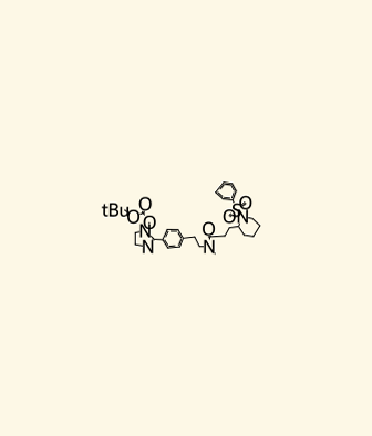 CN(CCc1ccc(C2=NCCN2OC(=O)OC(C)(C)C)cc1)C(=O)CCC1CCCCN1S(=O)(=O)c1ccccc1